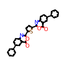 O=c1oc(-c2ccc(-c3nc4ccc(-c5ccccc5)cc4c(=O)o3)s2)nc2ccc(-c3ccccc3)cc12